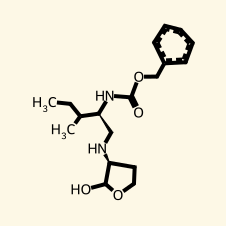 CCC(C)[C@H](CN[C@H]1CCOC1O)NC(=O)OCc1ccccc1